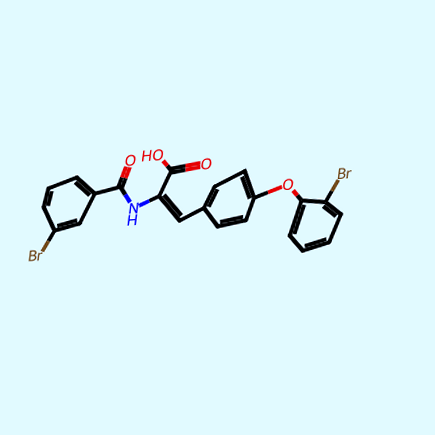 O=C(O)/C(=C\c1ccc(Oc2ccccc2Br)cc1)NC(=O)c1cccc(Br)c1